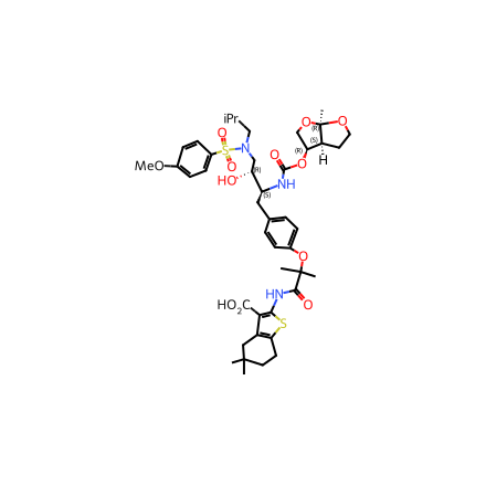 COc1ccc(S(=O)(=O)N(CC(C)C)C[C@@H](O)[C@H](Cc2ccc(OC(C)(C)C(=O)Nc3sc4c(c3C(=O)O)CC(C)(C)CC4)cc2)NC(=O)O[C@H]2CO[C@@]3(C)OCC[C@@H]23)cc1